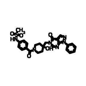 CS(=O)(=O)Nc1ccc(C(=O)N2CCC(O)(Cn3cnc4c(cnn4-c4ccccc4)c3=O)CC2)cc1